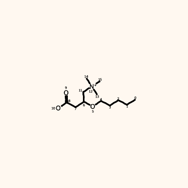 CCCCCOC(CC(=O)[O-])C[N+](C)(C)C